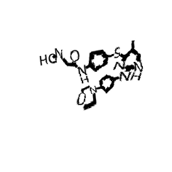 Cc1cnc(Nc2ccc(N3CCOCC3)cc2)nc1Sc1ccc(NC(=O)/C=N/O)cc1